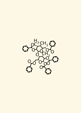 C[C@@H]1C(OC(=O)c2ccccc2)[C@H](OC(=O)c2ccccc2)OC(COC(=O)c2ccccc2)[C@H]1O[C@@H]1OC(COC(=O)c2ccccc2)[C@H](C)[C@H](C)C1OC(=O)c1ccccc1